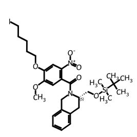 COc1cc(C(=O)N2Cc3ccccc3C[C@H]2CO[Si](C)(C)C(C)(C)C)c([N+](=O)[O-])cc1OCCCCCI